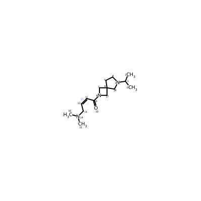 CC(C)N1CCC2(CN(C(=O)/C=C\CN(C)C)C2)C1